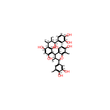 Cc1cc(C2Oc3c(C)c(O)cc(O)c3C(c3c(O)cc(O)c4c3OC(c3ccc(O)c(O)c3)C(C)C4C)C2C)cc(O)c1O